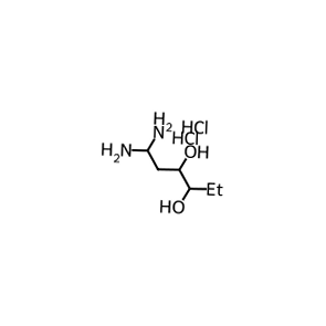 CCC(O)C(O)CC(N)N.Cl.Cl